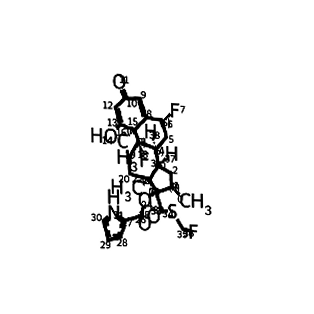 C[C@@H]1C[C@H]2[C@@H]3C[C@H](F)C4=CC(=O)C=C(O)[C@]4(C)[C@@]3(F)CC[C@]2(C)[C@@]1(OC(=O)c1ccc[nH]1)C(=O)SCF